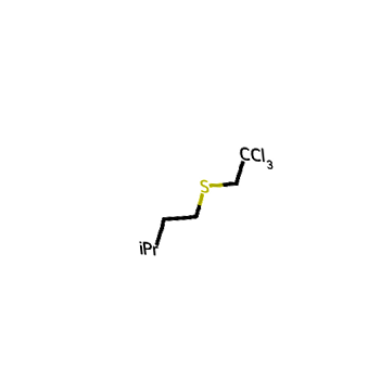 CC(C)CCSCC(Cl)(Cl)Cl